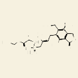 CCOC(=O)[C@H](C)NP(C)(=O)C/C(C)=C/Cc1c(O)c2c(c(C)c1CC)COC2=O